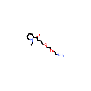 CCN1CCCC[C@H]1C(=O)CCCOCCOCCN